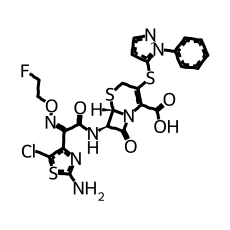 Nc1nc(/C(=N/OCCF)C(=O)N[C@@H]2C(=O)N3C(C(=O)O)=C(Sc4ccnn4-c4ccccc4)CS[C@@H]23)c(Cl)s1